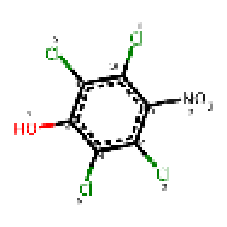 O=[N+]([O-])c1c(Cl)c(Cl)c(O)c(Cl)c1Cl